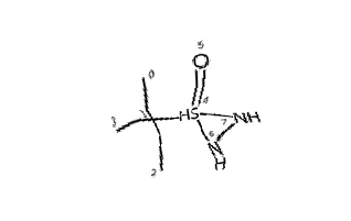 CC(C)(C)[SH]1(=O)NN1